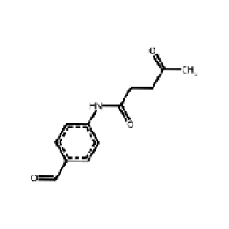 CC(=O)CCC(=O)Nc1ccc(C=O)cc1